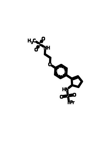 CCCS(=O)(=O)NC1CCC=C1c1ccc(OCCNS(C)(=O)=O)cc1